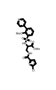 COC(=O)C(CNC(=O)c1ccc(Cl)s1)NS(=O)(=O)c1cccc(-c2ccncc2)c1OC